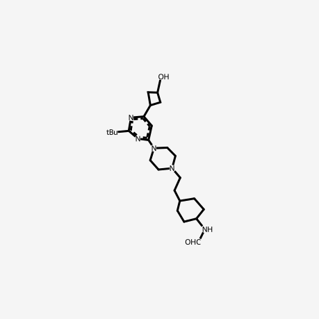 CC(C)(C)c1nc(C2CC(O)C2)cc(N2CCN(CCC3CCC(NC=O)CC3)CC2)n1